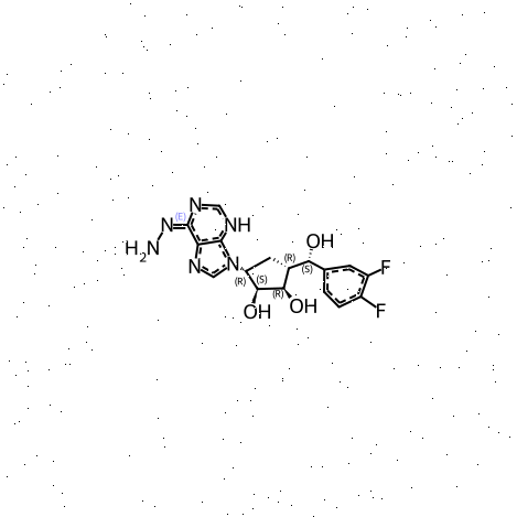 N/N=c1/nc[nH]c2c1ncn2[C@@H]1C[C@H]([C@H](O)c2ccc(F)c(F)c2)[C@@H](O)[C@H]1O